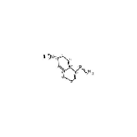 C=PC1=CCCC2=CC(N)CC=C21